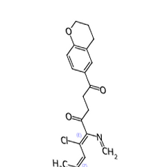 C=N/C(C(=O)CCC(=O)c1ccc2c(c1)CCCO2)=C(Cl)\C=C/C